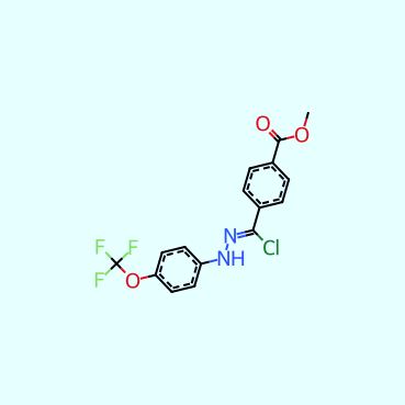 COC(=O)c1ccc(C(Cl)=NNc2ccc(OC(F)(F)F)cc2)cc1